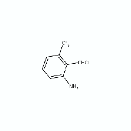 Nc1cccc(C(F)(F)F)c1C=O